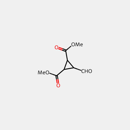 COC(=O)C1C(C=O)C1C(=O)OC